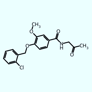 COc1cc(C(=O)NCC(C)=O)ccc1OCc1ccccc1Cl